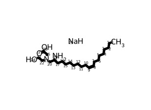 CCCCCCCC/C=C\CCCCCCCCC(N)CN(CCO)CC(=O)O.[NaH]